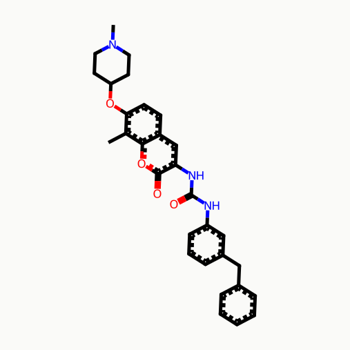 Cc1c(OC2CCN(C)CC2)ccc2cc(NC(=O)Nc3cccc(Cc4ccccc4)c3)c(=O)oc12